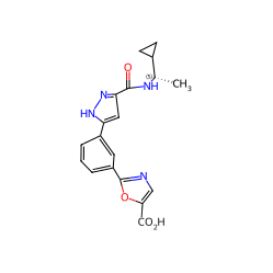 C[C@H](NC(=O)c1cc(-c2cccc(-c3ncc(C(=O)O)o3)c2)[nH]n1)C1CC1